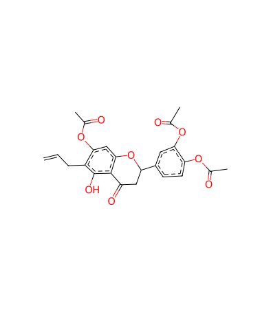 C=CCc1c(OC(C)=O)cc2c(c1O)C(=O)CC(c1ccc(OC(C)=O)c(OC(C)=O)c1)O2